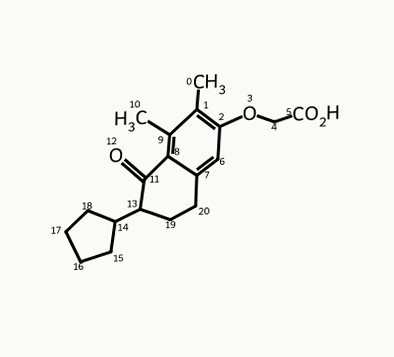 Cc1c(OCC(=O)O)cc2c(c1C)C(=O)C(C1CCCC1)CC2